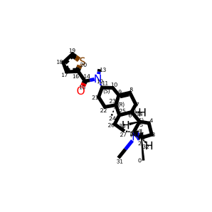 C[C@H]1[C@H]2CC[C@H]3[C@@H]4CC=C5C[C@@H](N(C)C(=O)c6cccs6)CC[C@]5(C)C4CC[C@]23CN1C